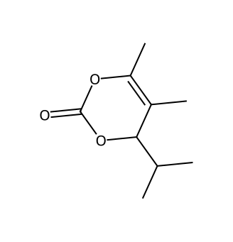 CC1=C(C)C(C(C)C)OC(=O)O1